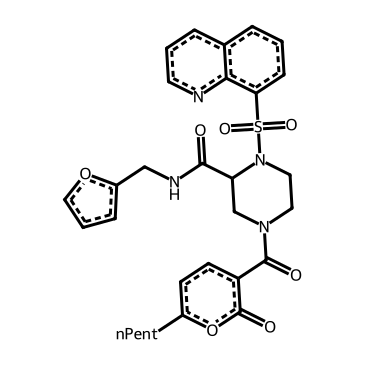 CCCCCc1ccc(C(=O)N2CCN(S(=O)(=O)c3cccc4cccnc34)C(C(=O)NCc3ccco3)C2)c(=O)o1